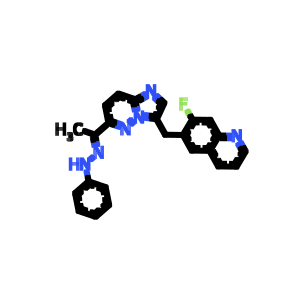 CC(=NNc1ccccc1)c1ccc2ncc(Cc3cc4cccnc4cc3F)n2n1